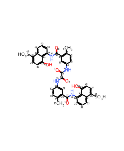 Cc1ccc(NC(=O)C(=O)Nc2ccc(C)c(C(=O)Nc3cccc4c(S(=O)(=O)O)ccc(O)c34)c2)cc1C(=O)Nc1cccc2c(S(=O)(=O)O)ccc(O)c12